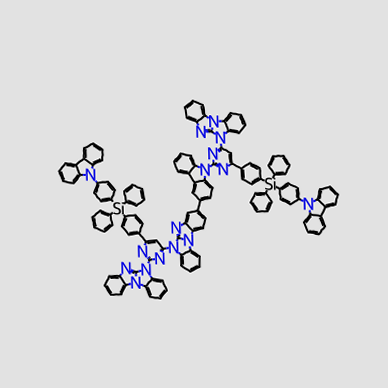 c1ccc([Si](c2ccccc2)(c2ccc(-c3cc(-n4c5ccccc5n5c6ccccc6nc45)nc(-n4c5ccccc5c5cc(-c6ccc7c(c6)nc6n(-c8cc(-c9ccc([Si](c%10ccccc%10)(c%10ccccc%10)c%10ccc(-n%11c%12ccccc%12c%12ccccc%12%11)cc%10)cc9)nc(-n9c%10ccccc%10n%10c%11ccccc%11nc9%10)n8)c8ccccc8n76)ccc54)n3)cc2)c2ccc(-n3c4ccccc4c4ccccc43)cc2)cc1